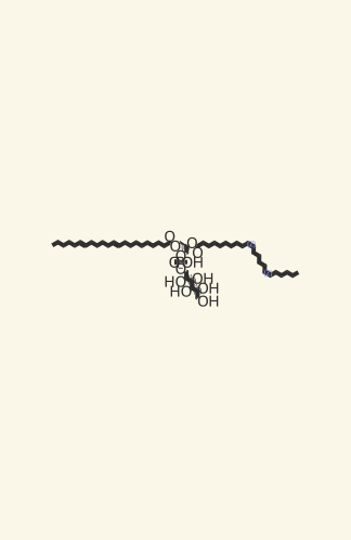 CCCCCC=CCCCCC=CCCCCCCCCC(=O)OC[C@H](COP(=O)(O)OC[C@@H](O)[C@@H](O)[C@H](O)[C@H](O)CO)OC(=O)CCCCCCCC/C=C\CCCC/C=C\CCCCC